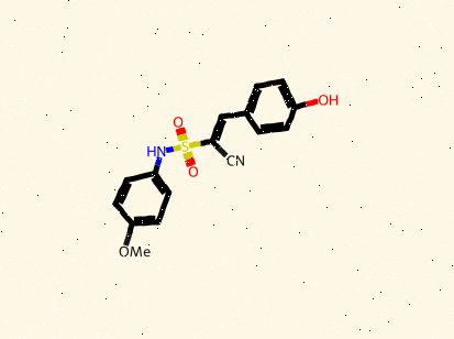 COc1ccc(NS(=O)(=O)/C(C#N)=C/c2ccc(O)cc2)cc1